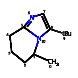 CC1CCCc2ncc(C(C)(C)C)n21